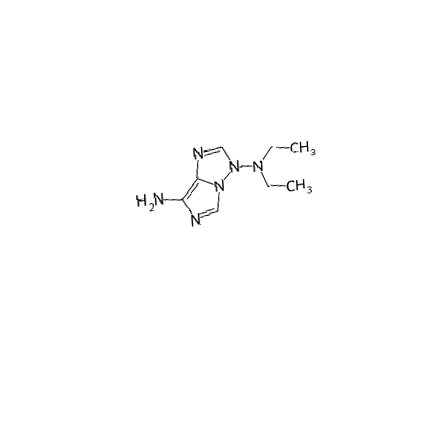 CCN(CC)n1cnc2c(N)ncn21